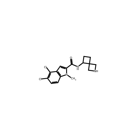 Cn1c(C(=O)NC2CCC23CNC3)cc2c(Cl)c(Cl)ccc21